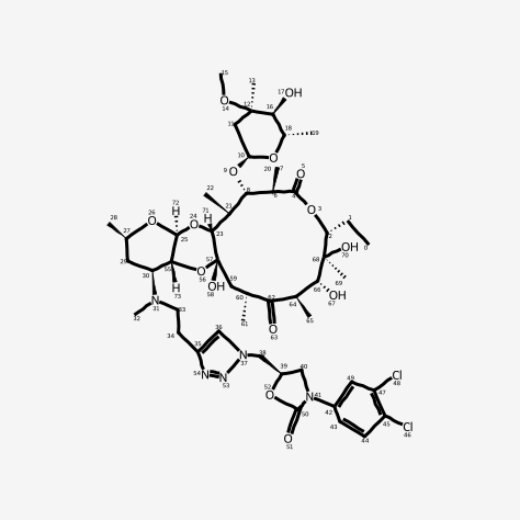 CC[C@H]1OC(=O)[C@H](C)[C@@H](O[C@H]2C[C@@](C)(OC)[C@@H](O)[C@H](C)O2)[C@H](C)[C@H]2O[C@@H]3O[C@H](C)C[C@H](N(C)CCc4cn(C[C@H]5CN(c6ccc(Cl)c(Cl)c6)C(=O)O5)nn4)[C@H]3O[C@@]2(O)C[C@@H](C)C(=O)[C@H](C)[C@@H](O)[C@]1(C)O